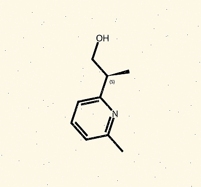 Cc1cccc([C@H](C)CO)n1